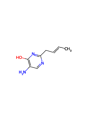 CC=CCc1ncc(N)c(O)n1